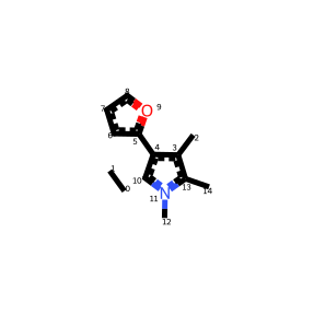 CC.Cc1c(-c2ccco2)cn(C)c1C